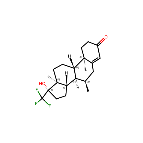 C[C@@H]1CC2=CC(=O)CC[C@]2(C)[C@H]2CC[C@@]3(C)[C@@H](CC[C@@]3(O)C(F)(F)F)[C@H]12